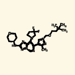 Cc1nn(COCC[Si](C)(C)C)cc1-c1ncn2nc(NC3CCOCC3)nc2c1N1CCC(F)(F)C1